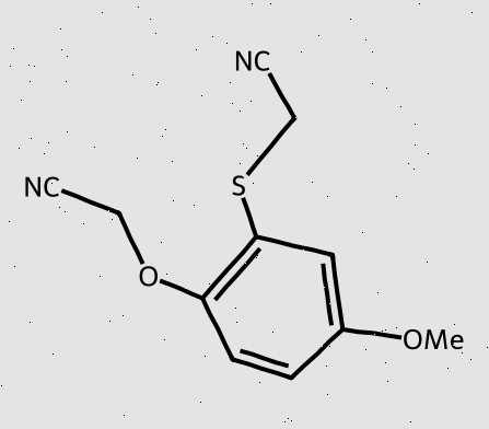 COc1ccc(OCC#N)c(SCC#N)c1